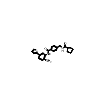 Nc1ccc(-c2cccs2)cc1NC(=O)c1ccc(CNC(=O)C2CCCC2)cc1